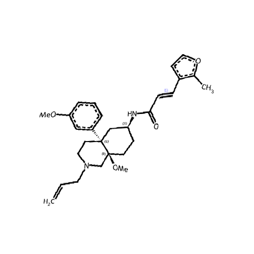 C=CCN1CC[C@@]2(c3cccc(OC)c3)C[C@@H](NC(=O)/C=C/c3ccoc3C)CC[C@]2(OC)C1